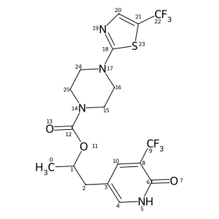 CC(Cc1c[nH]c(=O)c(C(F)(F)F)c1)OC(=O)N1CCN(c2ncc(C(F)(F)F)s2)CC1